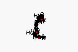 Cc1ncsc1-c1ccc(CNC(=O)[C@@H]2C[C@@H](O)CN2C(=O)C(NC(=O)COCC2CCN(c3ccc(-c4ccc(NC(C)(C)C(=O)N(C)c5ccc(C#N)c(C(F)(F)F)c5)cc4)cn3)CC2)C(C)(C)C)cc1